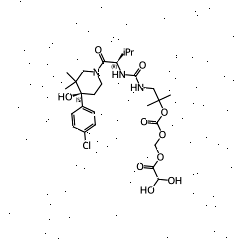 CC(C)[C@@H](NC(=O)NCC(C)(C)OC(=O)OCOC(=O)C(O)O)C(=O)N1CC[C@](O)(c2ccc(Cl)cc2)C(C)(C)C1